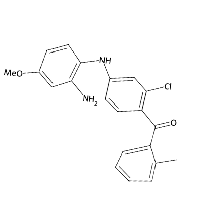 COc1ccc(Nc2ccc(C(=O)c3ccccc3C)c(Cl)c2)c(N)c1